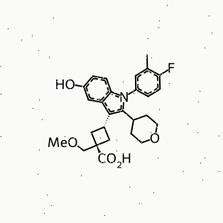 COC[C@]1(C(=O)O)C[C@H](c2c(C3CCOCC3)n(-c3ccc(F)c(C)c3)c3ccc(O)cc32)C1